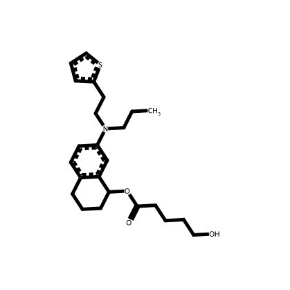 CCCN(CCc1cccs1)c1ccc2c(c1)C(OC(=O)CCCCO)CCC2